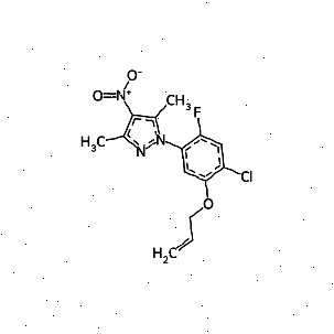 C=CCOc1cc(-n2nc(C)c([N+](=O)[O-])c2C)c(F)cc1Cl